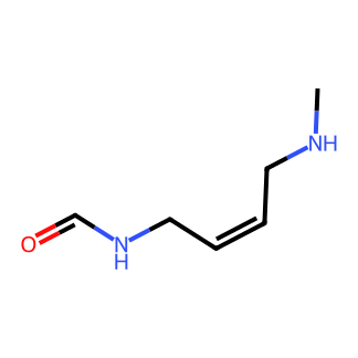 CNC/C=C\CNC=O